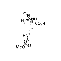 COC(=O)OCNCCCC[C@H](N/C(C)=N/O)C(=O)O